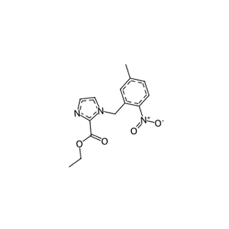 CCOC(=O)c1nccn1Cc1cc(C)ccc1[N+](=O)[O-]